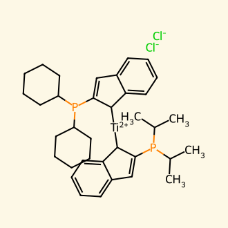 CC(C)P(C1=Cc2ccccc2[CH]1[Ti+2][CH]1C(P(C2CCCCC2)C2CCCCC2)=Cc2ccccc21)C(C)C.[Cl-].[Cl-]